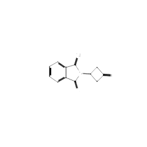 N=C1c2ccccc2C(=O)N1C1CC(=O)C1